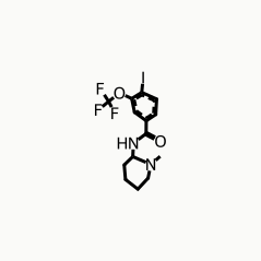 CN1CCCCC1NC(=O)c1ccc(I)c(OC(F)(F)F)c1